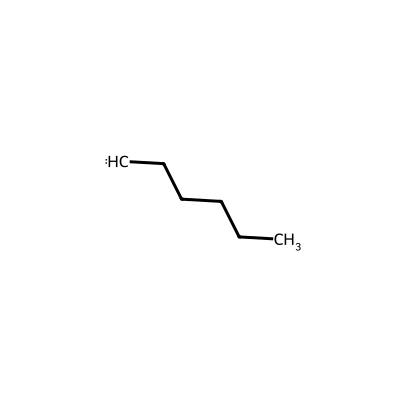 [CH]CCCCC